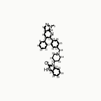 Cn1n[c]c2cc(-c3ccccc3)c(-c3ccc(CN4CCC(n5c(=O)[nH]c6ccccc65)CC4)cc3)nc21